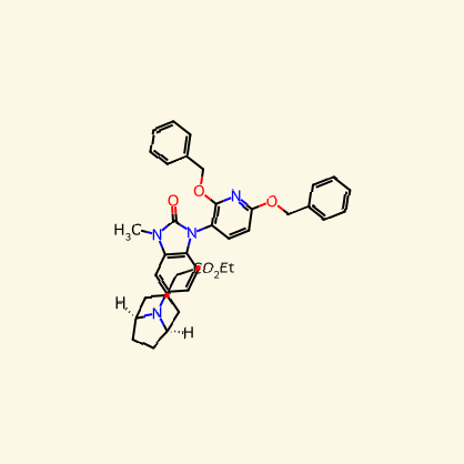 CCOC(=O)CC1C[C@H]2CC[C@@H](C1)N2c1ccc2c(c1)n(C)c(=O)n2-c1ccc(OCc2ccccc2)nc1OCc1ccccc1